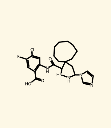 O=C(O)c1cc(F)c(Cl)cc1NC(=O)C1NNC(n2ccnc2)CC12CCCCCCCC2